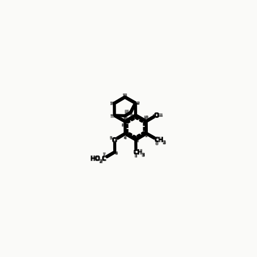 Cc1c(C)c(OCC(=O)O)c2c(c1[O])C1CCC2CC1